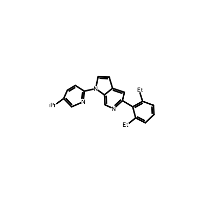 CCc1cccc(CC)c1-c1cc2ccn(-c3ccc(C(C)C)cn3)c2cn1